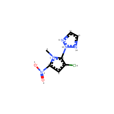 Cn1c([N+](=O)[O-])cc(Cl)c1-n1nccn1